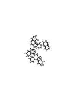 c1ccc2c(-c3ccc4c(c3)c3c5ccccc5ccc3n4-c3nc(-c4cc5oc6ccccc6c5c5ccccc45)c4ccccc4n3)cccc2c1